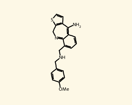 COc1ccc(CNCc2cccc3c2=NCc2sccc2C=3N)cc1